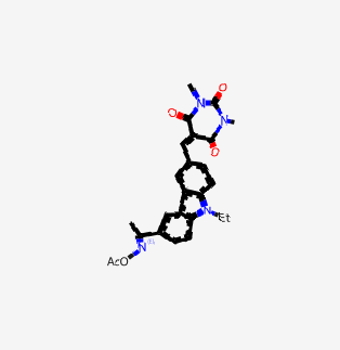 CCn1c2ccc(C=C3C(=O)N(C)C(=O)N(C)C3=O)cc2c2cc(/C(C)=N/OC(C)=O)ccc21